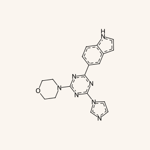 c1cn(-c2nc(-c3ccc4[nH]ccc4c3)nc(N3CCOCC3)n2)cn1